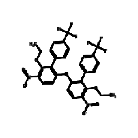 CCOc1c([N+](=O)[O-])ccc(Oc2ccc([N+](=O)[O-])c(OCC)c2-c2ccc(C(F)(F)F)cc2)c1-c1ccc(C(F)(F)F)cc1